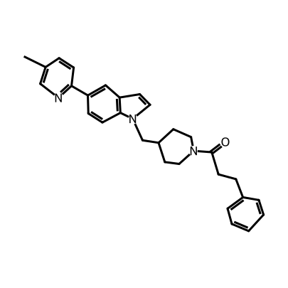 Cc1ccc(-c2ccc3c(ccn3CC3CCN(C(=O)CCc4ccccc4)CC3)c2)nc1